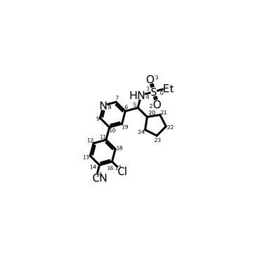 CCS(=O)(=O)NC(c1cncc(-c2ccc(C#N)c(Cl)c2)c1)C1CCCC1